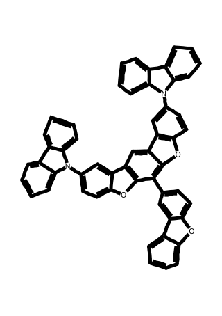 c1ccc2c(c1)oc1ccc(-c3c4oc5ccc(-n6c7ccccc7c7ccccc76)cc5c4cc4c3oc3ccc(-n5c6ccccc6c6ccccc65)cc34)cc12